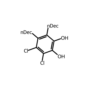 CCCCCCCCCCc1c(O)c(O)c(Cl)c(Cl)c1CCCCCCCCCC